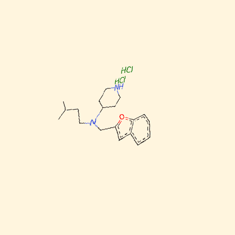 CC(C)CCN(Cc1cc2ccccc2o1)C1CCNCC1.Cl.Cl